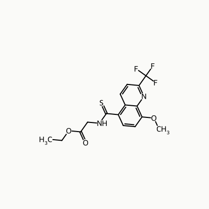 CCOC(=O)CNC(=S)c1ccc(OC)c2nc(C(F)(F)F)ccc12